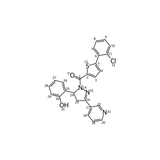 O=C(c1ccc(-c2ccccc2Cl)s1)N1N=C(c2cccnc2)CC1c1ccccc1O